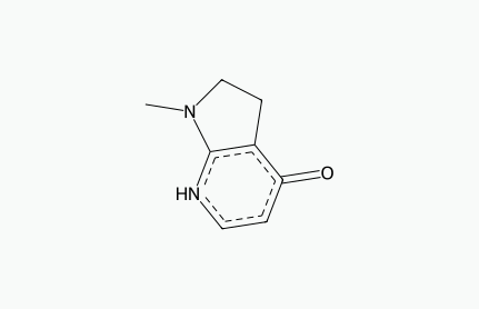 CN1CCc2c1[nH]ccc2=O